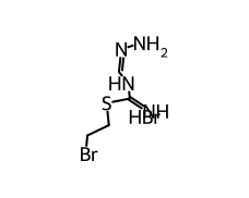 Br.N=C(N/C=N\N)SCCBr